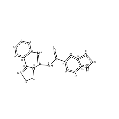 O=C(NC1=Nc2ccccc2C2=NCCN12)c1cnc2[nH]cnc2c1